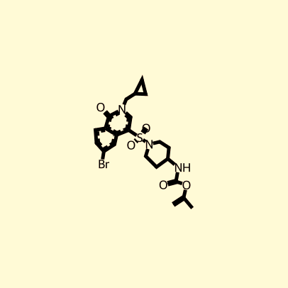 C=C(C)OC(=O)NC1CCN(S(=O)(=O)c2cn(CC3CC3)c(=O)c3ccc(Br)cc23)CC1